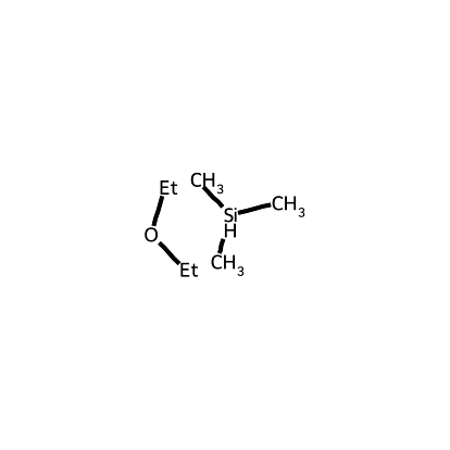 CCOCC.C[SiH](C)C